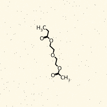 CCC(=O)OCCOCCOC(C)=O